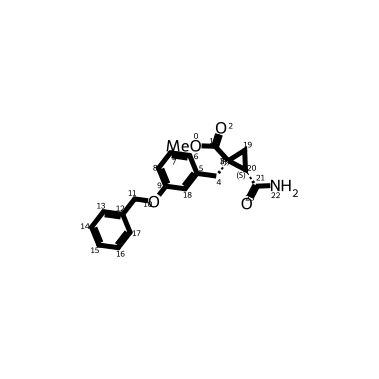 COC(=O)[C@@]1(Cc2cccc(OCc3ccccc3)c2)C[C@@H]1C(N)=O